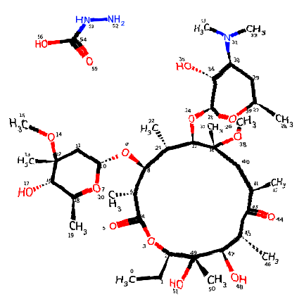 CC[C@H]1OC(=O)[C@H](C)[C@@H](O[C@H]2C[C@@](C)(OC)[C@@H](O)[C@H](C)O2)[C@H](C)[C@@H](O[C@@H]2O[C@H](C)C[C@H](N(C)C)[C@H]2O)[C@](C)(OC)C[C@@H](C)C(=O)[C@H](C)[C@@H](O)[C@]1(C)O.NNC(=O)O